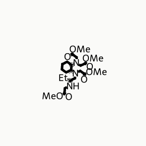 CC[C@H](CN(CC(=O)OC)[C@H]1CCCC[C@@H]1N(CC(=O)OC)CC(=O)OC)NCC(=O)OC